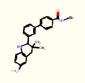 CC(C)(C)NC(=O)c1ccc(-c2cccc(C3Nc4ccc(C(=O)O)cc4CC3(C)C)c2)cc1